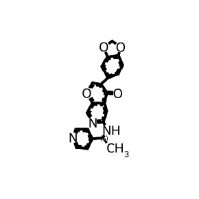 C[C@H](Nc1cc2c(=O)c(-c3ccc4c(c3)OCO4)coc2cn1)c1ccncc1